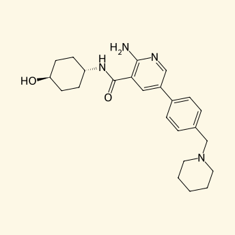 Nc1ncc(-c2ccc(CN3CCCCC3)cc2)cc1C(=O)N[C@H]1CC[C@H](O)CC1